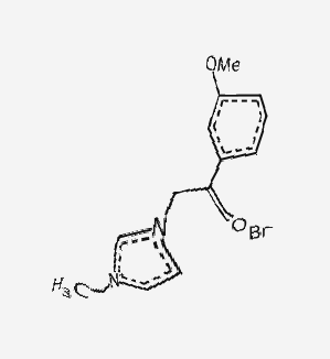 COc1cccc(C(=O)Cn2cc[n+](C)c2)c1.[Br-]